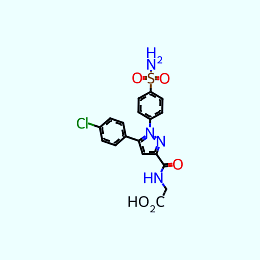 NS(=O)(=O)c1ccc(-n2nc(C(=O)NCC(=O)O)cc2-c2ccc(Cl)cc2)cc1